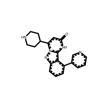 O=c1cc(C2CCNCC2)n2nc3cccc(-c4cccnc4)c3c2[nH]1